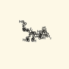 Cc1cc(N=Nc2c(SOOO)cc3cc(S(=O)(=O)O)c(N=Nc4c(C)c(C(N)=O)c5nc6ccccc6n5c4O)cc3c2O)c(OCCCCS(=O)(=O)O)cc1N=Nc1nnc(SCCC(=O)O)s1